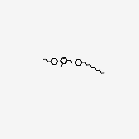 CCCCCCCCC[C@H]1CC[C@H](CCc2ccc([C@H]3CC[C@H](CCC)CC3)c(C)c2)CC1